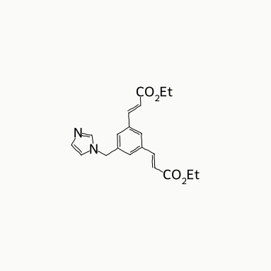 CCOC(=O)C=Cc1cc(/C=C/C(=O)OCC)cc(Cn2ccnc2)c1